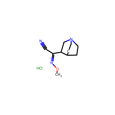 CO/N=C(/C#N)C1CN2CCC1CC2.Cl